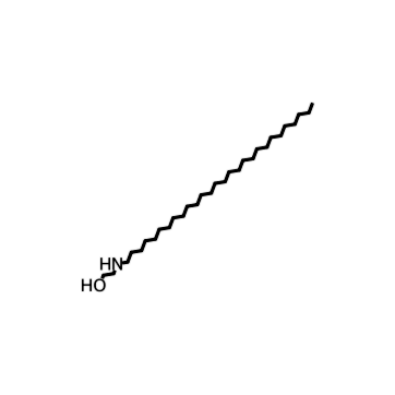 CCCCCCCCCCCCCCCCCCCCCCCCCCCCNCCO